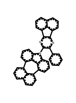 c1ccc(-c2nc3c(nc2-n2c4cccc5c4c4c(cccc42)-c2cccc4cccc-5c24)-c2cccc4cccc-3c24)cc1